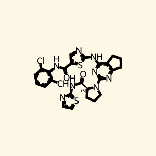 Cc1cccc(Cl)c1NC(=O)c1cnc(Nc2nc(N3CCC[C@H]3C(=O)Nc3nccs3)nc3c2CCC3)s1